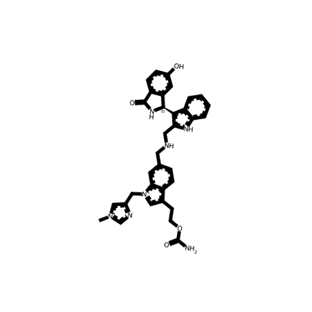 Cn1cnc(Cn2cc(CCOC(N)=O)c3ccc(CNCc4[nH]c5ccccc5c4[C@H]4NC(=O)c5ccc(O)cc54)cc32)c1